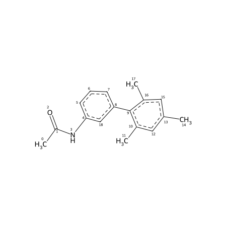 CC(=O)Nc1cccc(-c2c(C)cc(C)cc2C)c1